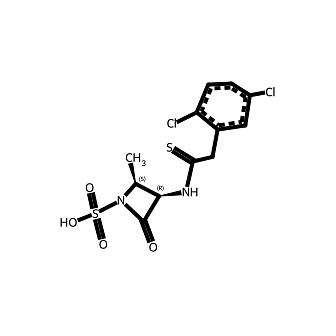 C[C@H]1[C@@H](NC(=S)Cc2cc(Cl)ccc2Cl)C(=O)N1S(=O)(=O)O